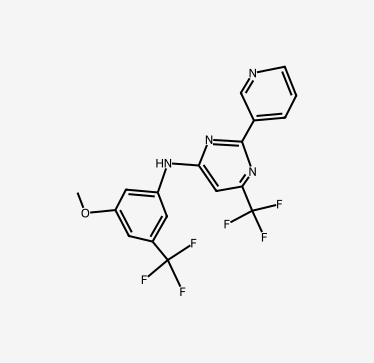 COc1cc(Nc2cc(C(F)(F)F)nc(-c3cccnc3)n2)cc(C(F)(F)F)c1